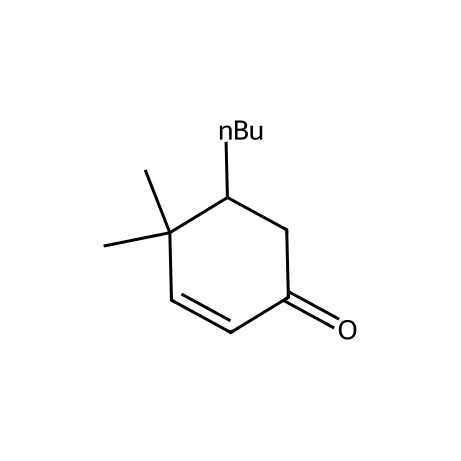 CCCCC1CC(=O)C=CC1(C)C